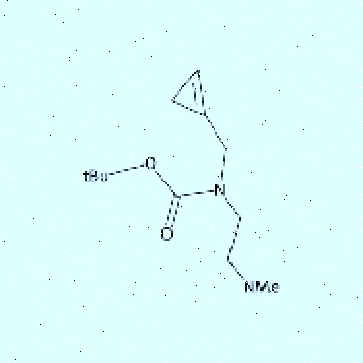 CNCCN(CC1=CC1)C(=O)OC(C)(C)C